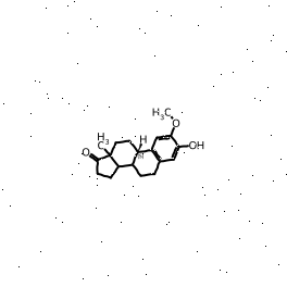 COc1cc2c(cc1O)CCC1C3CCC(=O)C3(C)CC[C@H]21